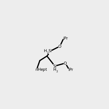 CCCCCCCCC([SiH2]OC(C)C)[SiH2]OC(C)C